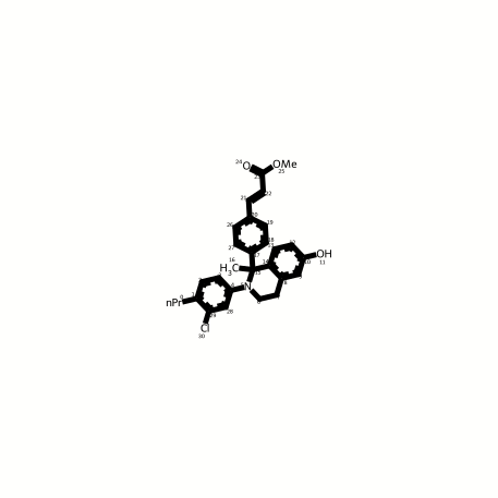 CCCc1ccc(N2CCc3cc(O)ccc3C2(C)c2ccc(C=CC(=O)OC)cc2)cc1Cl